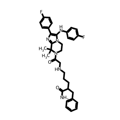 CC1(C)c2nc(-c3ccc(F)cc3)c(Nc3ccc(F)cc3)n2CCN1C(=O)CNCCCC(Cc1ccccc1)C(N)=O